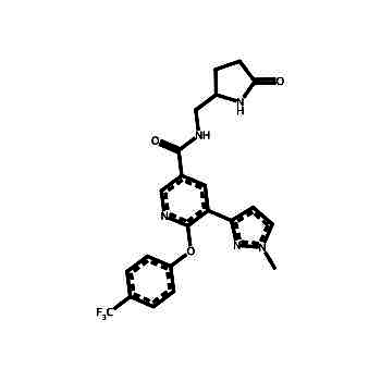 Cn1ccc(-c2cc(C(=O)NCC3CCC(=O)N3)cnc2Oc2ccc(C(F)(F)F)cc2)n1